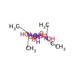 CCCCCCCCCCC(O)CN(CCCCSC(=O)CC1CNC(CC(=O)SCCCCN(CC(O)CCCCCCCCCC)CC(O)CCCCCCCCCC)C(=O)N1)CC(O)CCCCCCCCCC